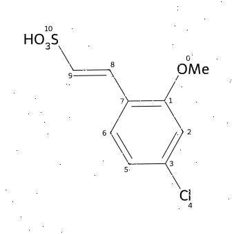 COc1cc(Cl)ccc1C=CS(=O)(=O)O